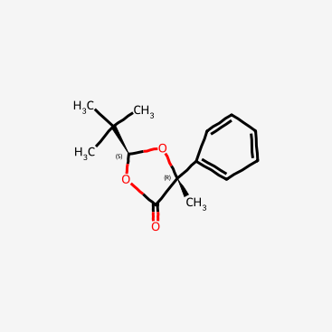 CC(C)(C)[C@@H]1OC(=O)[C@@](C)(c2ccccc2)O1